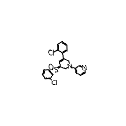 Clc1ccccc1.O=S=C1C=C(c2ccccc2Cl)CN(c2cccnc2)C1